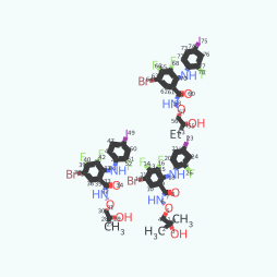 CC(C)(O)CONC(=O)c1cc(Br)c(F)c(F)c1Nc1ccc(I)cc1F.CC(O)CONC(=O)c1cc(Br)c(F)c(F)c1Nc1ccc(I)cc1F.CCC(O)CONC(=O)c1cc(Br)c(F)c(F)c1Nc1ccc(I)cc1F